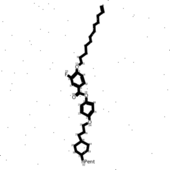 C=CCCCCCCCCCCOc1ccc(C(=O)Oc2ccc(OCCCC3CCC(CCCCC)CC3)cc2)cc1F